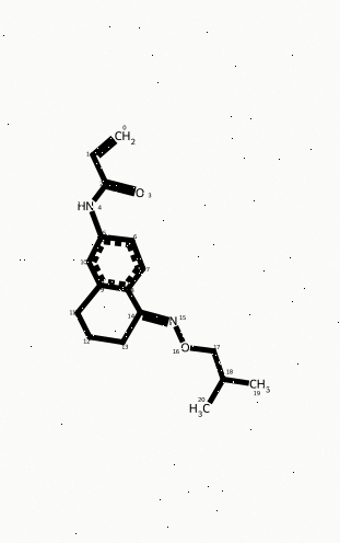 C=CC(=O)Nc1ccc2c(c1)CCCC2=NOCC(C)C